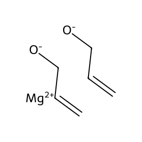 C=CC[O-].C=CC[O-].[Mg+2]